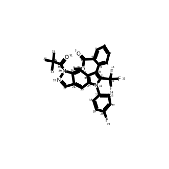 COC(=O)c1ccccc1-c1c(C(F)(F)F)n(-c2ccc(F)cc2)c2cc3cnn(C(=O)C(C)(C)C)c3cc12